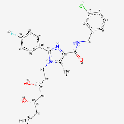 CC(C)c1c(C(=O)NCc2cccc(Cl)c2)nc(-c2ccc(F)cc2)n1CC[C@@H](O)C[C@@H](O)CC(=O)O